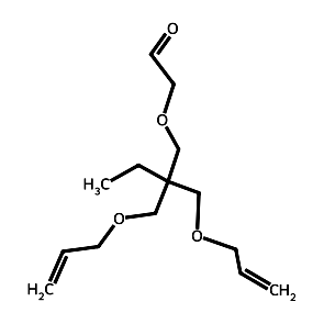 C=CCOCC(CC)(COCC=C)COCC=O